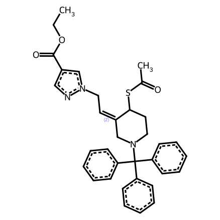 CCOC(=O)c1cnn(C/C=C2/CN(C(c3ccccc3)(c3ccccc3)c3ccccc3)CCC2SC(C)=O)c1